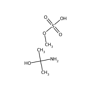 CC(C)(N)O.COS(=O)(=O)O